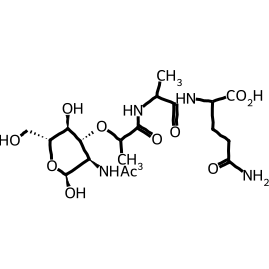 CC(=O)N[C@@H]1[C@@H](OC(C)C(=O)NC(C)C(=O)NC(CCC(N)=O)C(=O)O)[C@H](O)[C@@H](CO)O[C@@H]1O